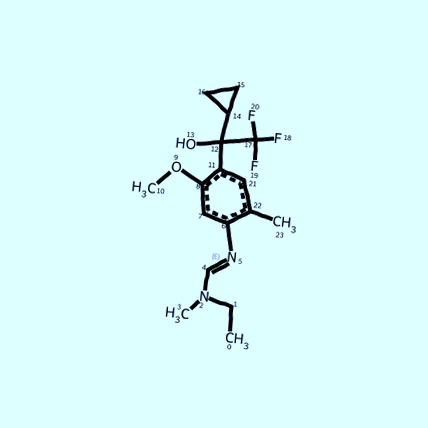 CCN(C)/C=N/c1cc(OC)c(C(O)(C2CC2)C(F)(F)F)cc1C